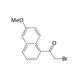 COc1ccc2c(C(=O)CBr)cccc2c1